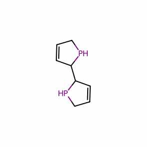 C1=CC(C2C=CCP2)PC1